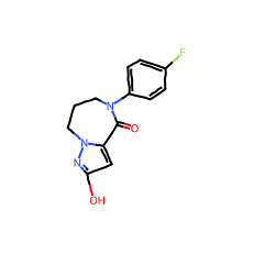 O=C1c2cc(O)nn2CCCN1c1ccc(F)cc1